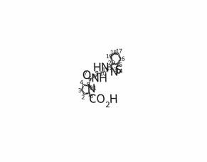 O=C(O)c1cccc(C(=O)NCCNc2nsc3ccccc23)n1